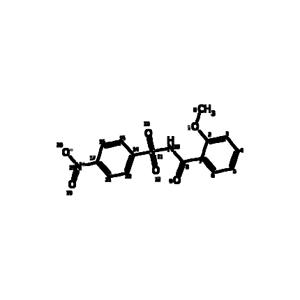 COc1ccccc1C(=O)NS(=O)(=O)c1ccc([N+](=O)[O-])cc1